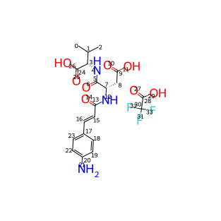 CC(C)[C@H](NC(=O)[C@H](CC(=O)O)NC(=O)C=Cc1ccc(N)cc1)C(=O)O.O=C(O)C(F)(F)F